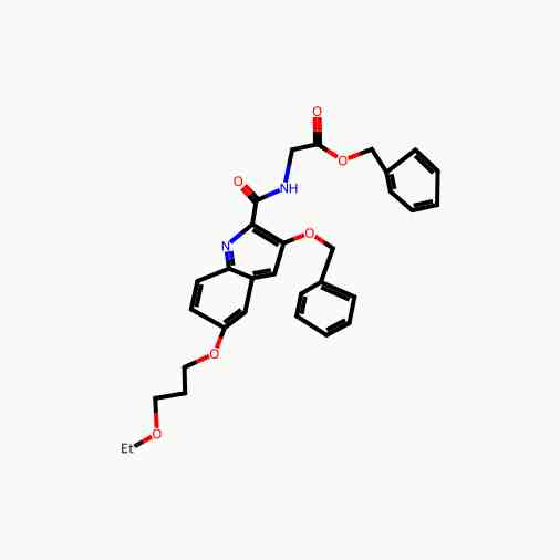 CCOCCCOc1ccc2nc(C(=O)NCC(=O)OCc3ccccc3)c(OCc3ccccc3)cc2c1